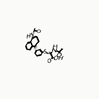 CC(=O)N[C@@H](CSc1cccc([C@H]2CC[C@@H](NC(C)=O)c3ccccc32)c1)C(=O)O